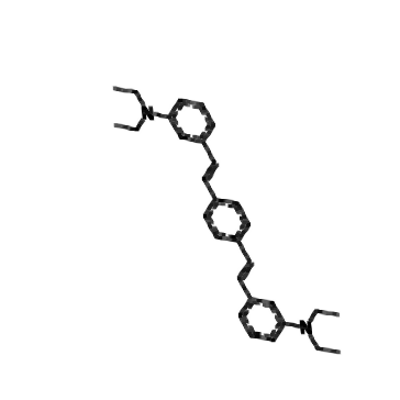 CCN(CC)c1cccc(C=Cc2ccc(C=Cc3cccc(N(CC)CC)c3)cc2)c1